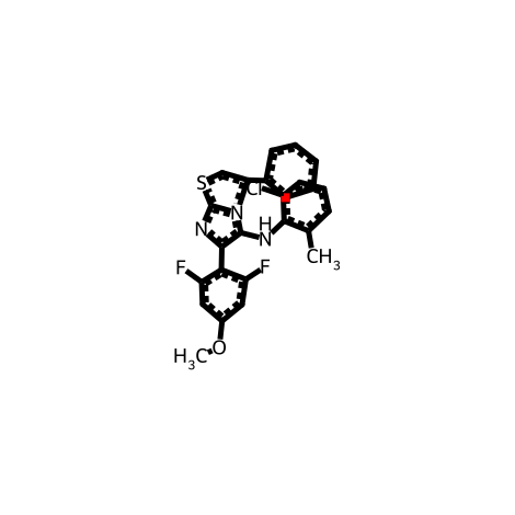 COc1cc(F)c(-c2nc3scc(-c4ccccc4)n3c2Nc2c(C)cccc2Cl)c(F)c1